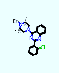 CCN1[C@H](C)CN(c2nc(-c3ccccc3Cl)nc3ccccc23)C[C@@H]1C